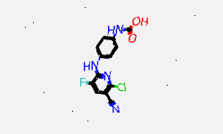 N#Cc1cc(F)c(N[C@H]2CC[C@H](NC(=O)O)CC2)nc1Cl